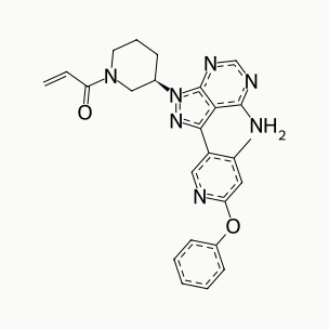 C=CC(=O)N1CCC[C@@H](n2nc(-c3cnc(Oc4ccccc4)cc3C)c3c(N)ncnc32)C1